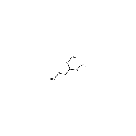 CCCCOCC(O[SiH3])OCCCC